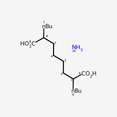 CCCCC(CCCCC(CCCC)C(=O)O)C(=O)O.N